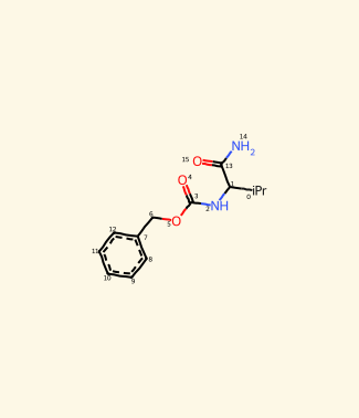 CC(C)C(NC(=O)OCc1ccccc1)C(N)=O